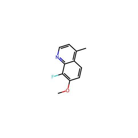 COc1ccc2c(C)ccnc2c1F